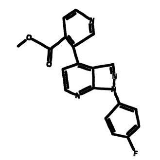 COC(=O)c1ccncc1-c1ccnc2c1cnn2-c1ccc(F)cc1